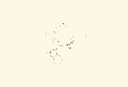 O.O=C(NCC1(O)CN2CCC1CC2)c1c[nH]c2ccccc12.O=C(O)C=CC(=O)O